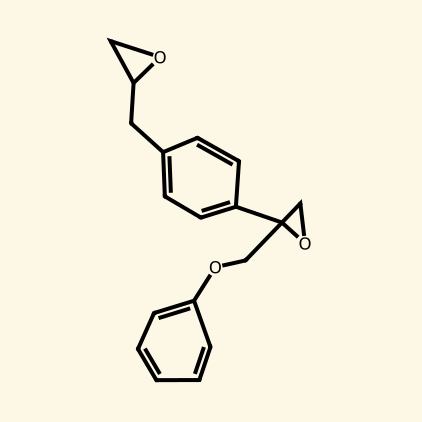 c1ccc(OCC2(c3ccc(CC4CO4)cc3)CO2)cc1